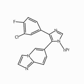 CCCn1cnc(-c2ccc(F)c(Cl)c2)c1-c1ccc2nccn2c1